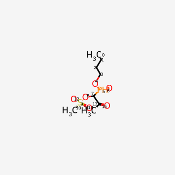 CCCCO[PH](=O)C(OS(C)(=O)=O)C(C)=O